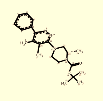 Cc1c(-c2ccccc2)nnc(N2CCN(C(=O)OC(C)(C)C)[C@@H](C)C2)c1C